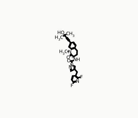 CN1C(=O)[C@H](NC(=O)n2cc(Cc3ccc(F)nc3F)cn2)CCc2ccc(C#CC(C)(C)O)cc21